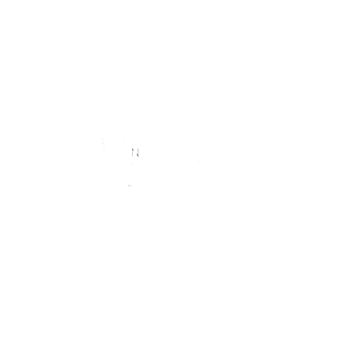 C#Cc1ccc2c(c1)c1cc(C#C)ccc1n2CCCCCCCCCCCC